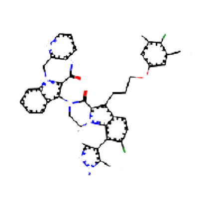 Cc1cc(OCCCc2c3n(c4c(-c5c(C)nn(C)c5C)c(Cl)ccc24)[C@H](C)CN(c2c(C(N)=O)n(Cc4ccccn4)c4ccccc24)C3=O)cc(C)c1Cl